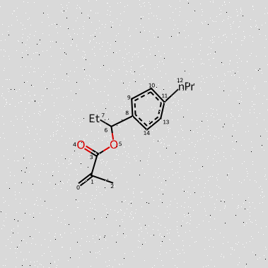 C=C(C)C(=O)OC(CC)c1ccc(CCC)cc1